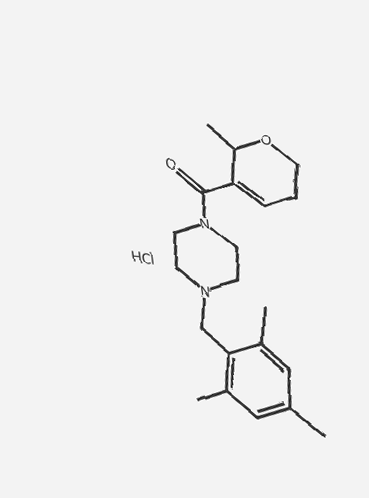 Cc1cc(C)c(CN2CCN(C(=O)C3=CCCOC3C)CC2)c(C)c1.Cl